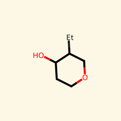 CCC1COCCC1O